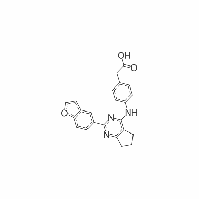 O=C(O)Cc1ccc(Nc2nc(-c3ccc4occc4c3)nc3c2CCC3)cc1